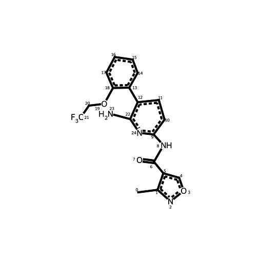 Cc1nocc1C(=O)Nc1ccc(-c2ccccc2OCC(F)(F)F)c(N)n1